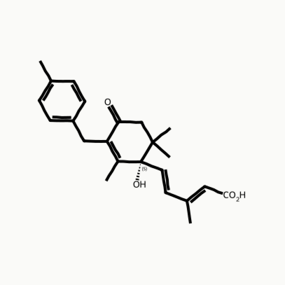 CC(C=C[C@@]1(O)C(C)=C(Cc2ccc(C)cc2)C(=O)CC1(C)C)=CC(=O)O